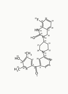 Cc1cc(C(=O)c2ccnc(N3CCC(N4Cc5cccc(F)c5NC4=O)CC3)c2)cc(C)c1O